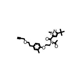 C#CCOCCc1ccc(OCCN(C(C)=O)C(=O)c2cc(C(C)(C)C)nn2C)c(C)c1